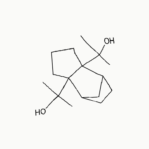 CC(C)(O)C12CCCC1(C(C)(C)O)C1CCC2C1